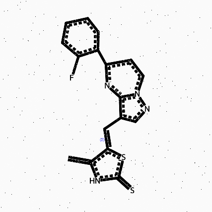 C=c1[nH]c(=S)s/c1=C\c1cnn2ccc(-c3ccccc3F)nc12